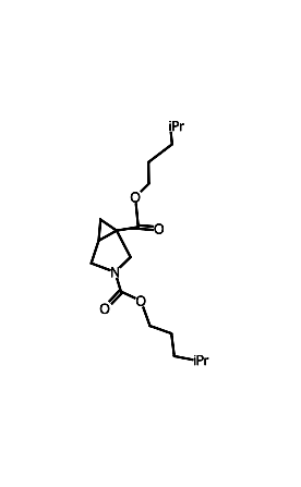 CC(C)CCCOC(=O)N1CC2CC2(C(=O)OCCCC(C)C)C1